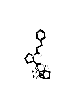 CC1(C)C2CCC1(C)C(OC(=O)C1CCCN1C(=O)CCc1ccccc1)C2